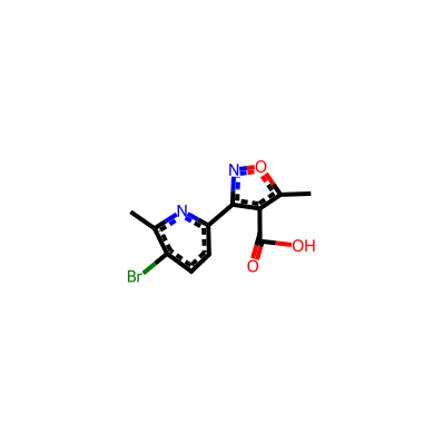 Cc1nc(-c2noc(C)c2C(=O)O)ccc1Br